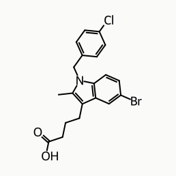 Cc1c(CCCC(=O)O)c2cc(Br)ccc2n1Cc1ccc(Cl)cc1